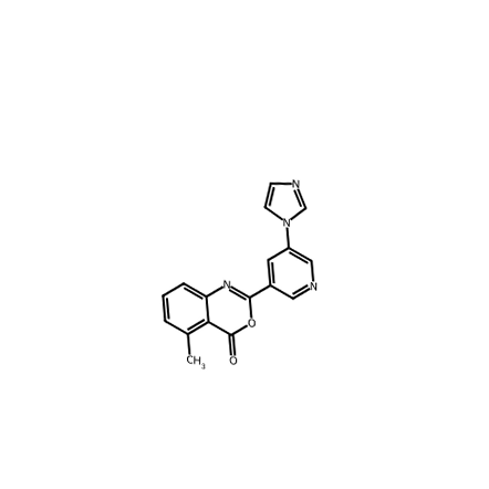 Cc1cccc2nc(-c3cncc(-n4ccnc4)c3)oc(=O)c12